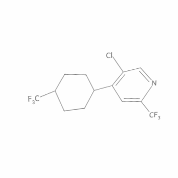 FC(F)(F)c1cc(C2CCC(C(F)(F)F)CC2)c(Cl)cn1